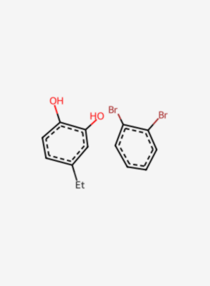 Brc1ccccc1Br.CCc1ccc(O)c(O)c1